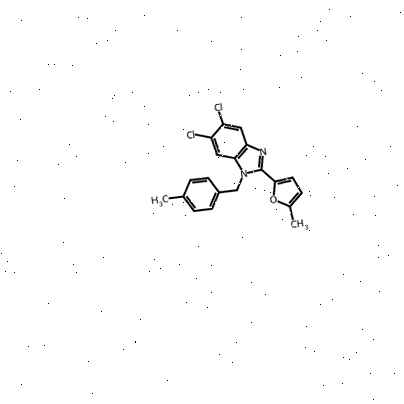 Cc1ccc(Cn2c(-c3ccc(C)o3)nc3cc(Cl)c(Cl)cc32)cc1